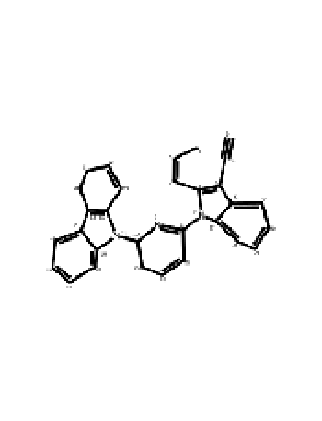 C#Cc1c(/C=C\C)n(C2=NC(n3c4c(c5ccccc53)CCC=C4)CC=C2)c2ccccc12